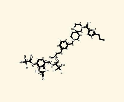 CCCc1nc(C(=O)N2CCOC3(CCN(Cc4cccc(CCNC[C@H](OC(=O)C(F)(F)F)c5ccc(OC(=O)C(F)(F)F)c6[nH]c(=O)sc56)c4)CC3)C2)cs1